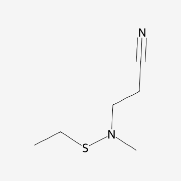 CCSN(C)CCC#N